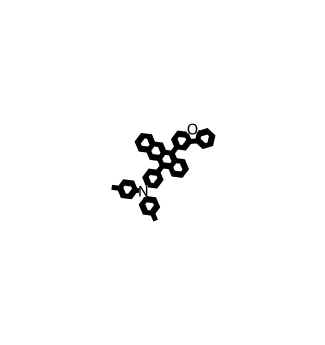 Cc1ccc(N(c2ccc(C)cc2)c2ccc(-c3c4ccccc4c(-c4ccc5oc6ccccc6c5c4)c4cc5ccccc5cc34)cc2)cc1